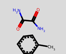 Cc1ccccc1.NC(=O)C(N)=O